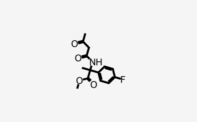 COC(=O)C(C)(NC(=O)CC(C)=O)c1ccc(F)cc1